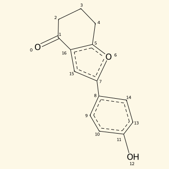 O=C1CCCc2oc(-c3ccc(O)cc3)cc21